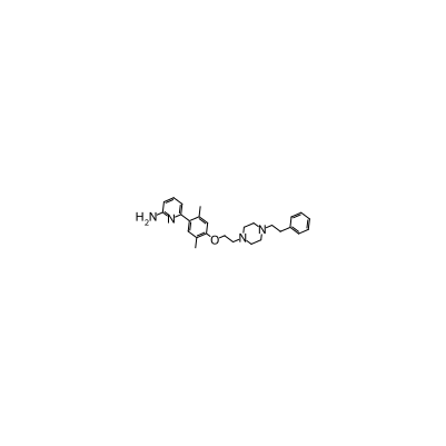 Cc1cc(-c2cccc(N)n2)c(C)cc1OCCN1CCN(CCc2ccccc2)CC1